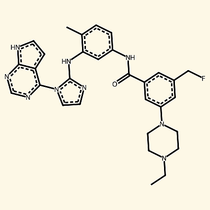 CCN1CCN(c2cc(CF)cc(C(=O)Nc3ccc(C)c(Nc4nccn4-c4ncnc5[nH]ccc45)c3)c2)CC1